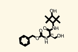 CC1(C)C(O)C(C)(C)C1NC(=O)[C@@H](CO)NC(=O)OCc1ccccc1